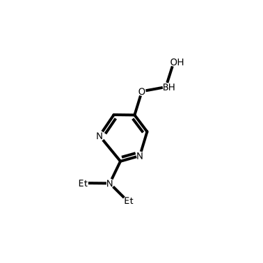 CCN(CC)c1ncc(OBO)cn1